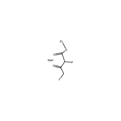 CCOC(=O)C(F)C(=O)CF.[NaH]